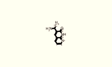 CC(N)c1cc2cccnc2[nH]c1=O